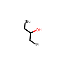 CC(C)CC(O)CC(C)(C)C